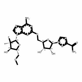 COC[C@H]1O[C@@H](n2cnc3c(N)nc(OC[C@H]4O[C@@H](n5cnc(C(N)=O)n5)[C@H](O)[C@@H]4O)nc32)[C@](C)(F)[C@@H]1O